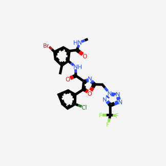 CNC(=O)c1cc(Br)cc(C)c1NC(=O)c1nc(Cn2nnc(C(F)(F)F)n2)oc1-c1ccccc1Cl